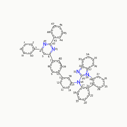 c1ccc(-c2cc(-c3ccc(-c4cccc(N5c6ccccc6-c6ccccc6-n6c5nc5ccccc56)c4)cc3)nc(-c3ccccc3)n2)cc1